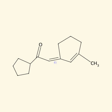 CC1=C/C(=C/C(=O)C2CCCC2)CCC1